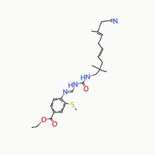 CCOC(=O)c1ccc(/N=C/NC(=O)NCC(C)(C)CC=CC/C=C(\C)CC#N)c(SC)c1